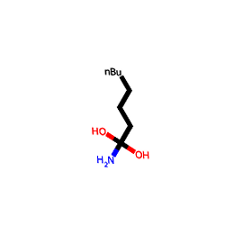 CCCCCCCC(N)(O)O